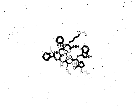 C[C@H](NC(=O)[C@@H](Cc1c[nH]c2ccccc12)N1CC[C@H](N)C1=O)C(=O)N[C@@H](Cc1c[nH]c2ccccc12)C(=O)N[C@H](Cc1ccccc1)C(=O)N[C@@H](CCCCN)C(N)=O